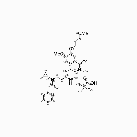 COCCCOc1cc(C(=O)N(C(C)C)[C@@H]2CC[C@H](CCN(C(=O)Cc3ccccn3)C3CC3)NC2)ccc1OC.O=C(O)C(F)(F)F